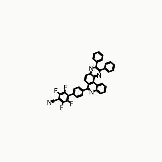 N#Cc1c(F)c(F)c(-c2ccc(-c3nc4ccccc4c4c3ccc3nc(-c5ccccc5)c(-c5ccccc5)nc34)cc2)c(F)c1F